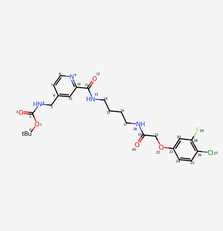 CC(C)(C)OC(=O)NCc1ccnc(C(=O)NCCCCNC(=O)COc2ccc(Cl)c(F)c2)c1